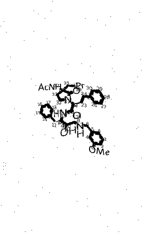 COc1cccc(CNC[C@@H](O)[C@H](Cc2ccccc2)NC(=O)[C@H](CCc2ccccc2)N2CC[C@](CC(C)C)(NC(C)=O)C2=O)c1